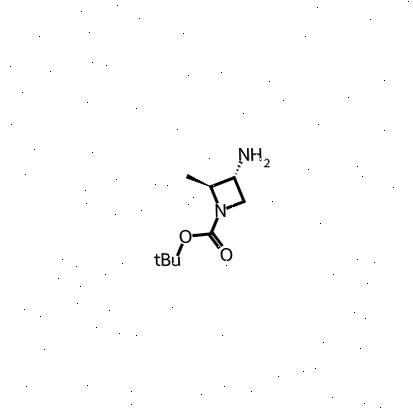 C[C@H]1[C@H](N)CN1C(=O)OC(C)(C)C